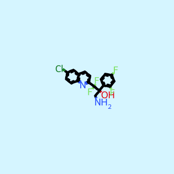 NCC(O)(c1ccc(F)cc1F)C(F)(F)c1ccc2cc(Cl)ccc2n1